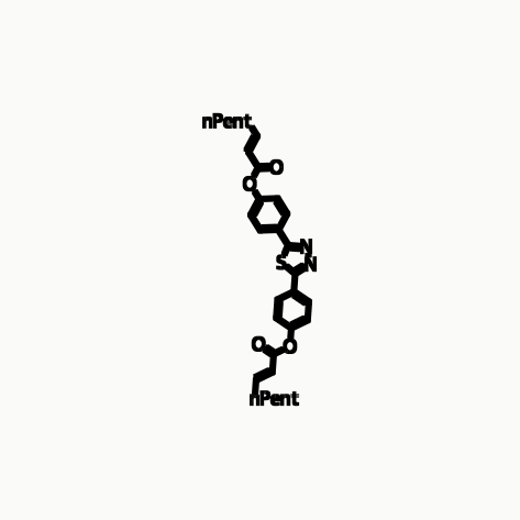 CCCCC/C=C/C(=O)Oc1ccc(-c2nnc(-c3ccc(OC(=O)/C=C/CCCCC)cc3)s2)cc1